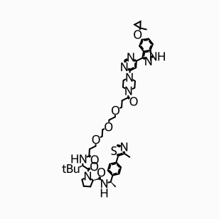 Cc1ncsc1-c1ccc([C@@H](C)NC(=O)[C@H]2CCCN2C(=O)[C@H](NC(=O)CCOCCOCCOCCC(=O)N2CCN(c3cc(-c4n[nH]c5ccc(OC6(C)CC6)cc45)ncn3)CC2)C(C)(C)C)cc1